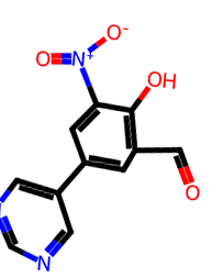 O=Cc1cc(-c2cncnc2)cc([N+](=O)[O-])c1O